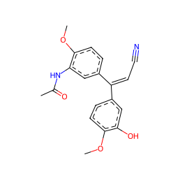 COc1ccc(C(=CC#N)c2ccc(OC)c(NC(C)=O)c2)cc1O